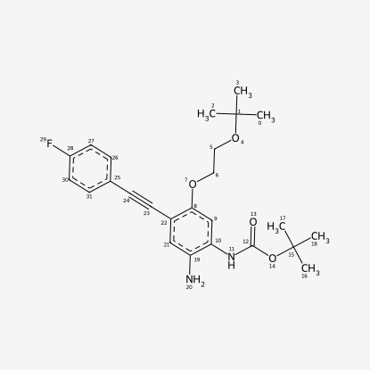 CC(C)(C)OCCOc1cc(NC(=O)OC(C)(C)C)c(N)cc1C#Cc1ccc(F)cc1